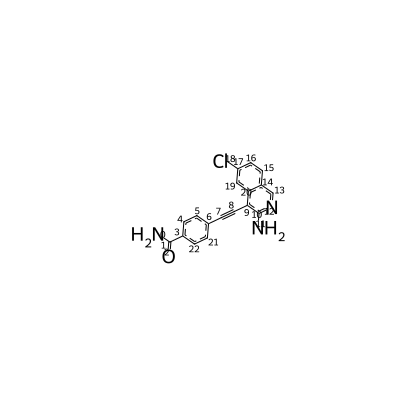 NC(=O)c1ccc(C#Cc2c(N)ncc3ccc(Cl)cc23)cc1